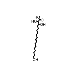 O=C(O)C(O)C(O)CCCCCCC=CCCCCCCCO